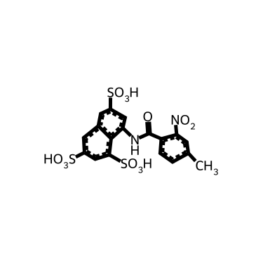 Cc1ccc(C(=O)Nc2cc(S(=O)(=O)O)cc3cc(S(=O)(=O)O)cc(S(=O)(=O)O)c23)c([N+](=O)[O-])c1